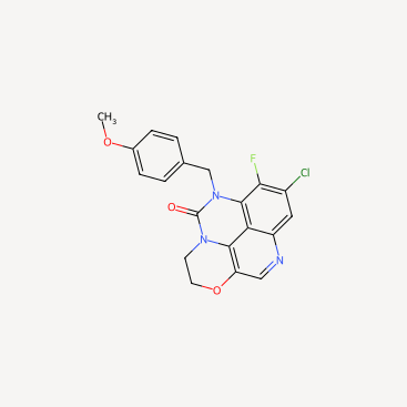 COc1ccc(CN2C(=O)N3CCOc4cnc5cc(Cl)c(F)c2c5c43)cc1